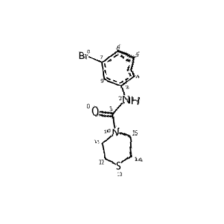 O=C(Nc1cccc(Br)c1)N1CCSCC1